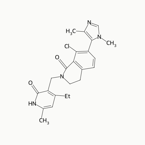 CCc1cc(C)[nH]c(=O)c1CN1CCc2ccc(-c3c(C)ncn3C)c(Cl)c2C1=O